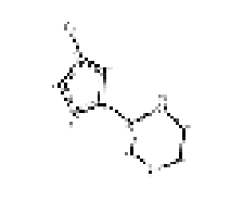 Clc1csc(C2C[N]CCO2)c1